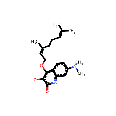 CC(C)=CCCC(C)=CCOc1c(O)c(=O)[nH]c2cc(N(C)C)ccc12